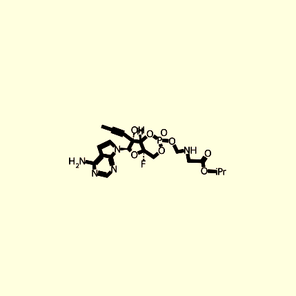 CC#C[C@]1(O)[C@H](n2ccc3c(N)ncnc32)O[C@]2(F)COP(=O)(OCNCC(=O)OC(C)C)O[C@@H]12